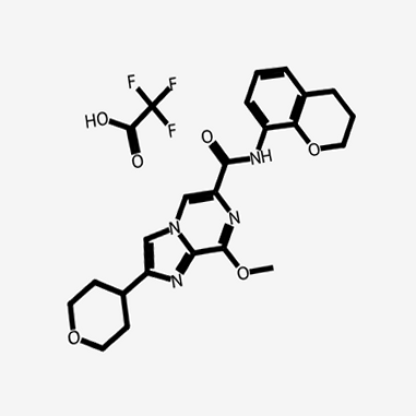 COc1nc(C(=O)Nc2cccc3c2OCCC3)cn2cc(C3CCOCC3)nc12.O=C(O)C(F)(F)F